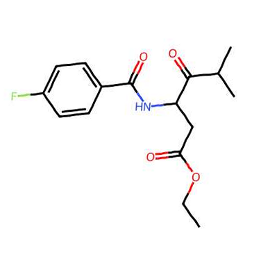 CCOC(=O)CC(NC(=O)c1ccc(F)cc1)C(=O)C(C)C